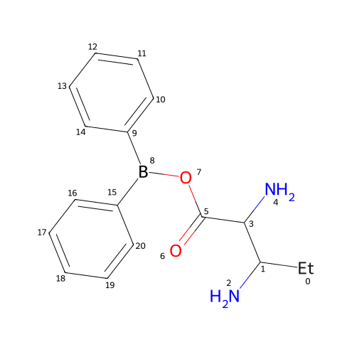 CCC(N)C(N)C(=O)OB(c1ccccc1)c1ccccc1